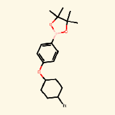 CCC1CCC(Oc2ccc(B3OC(C)(C)C(C)(C)O3)cc2)CC1